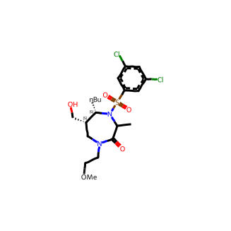 CCCC[C@H]1[C@@H](CO)CN(CCOC)C(=O)C(C)N1S(=O)(=O)c1cc(Cl)cc(Cl)c1